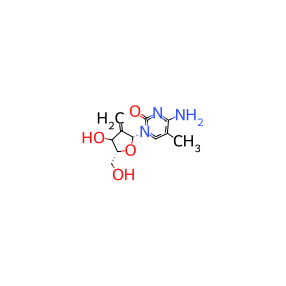 C=C1C(O)[C@@H](CO)O[C@H]1n1cc(C)c(N)nc1=O